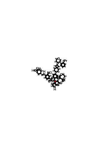 CC(C)c1ccccc1[C@@H]1COCCN1C1CC2(CCN(c3ccc(C(=O)NS(=O)(=O)c4ccc(NC[C@H]5CC[C@](C)(O)CC5)c([N+](=O)[O-])c4)c(N4c5cc6cc[nH]c6nc5OC[C@@H]5OCCOC[C@H]54)c3)CC2)C1